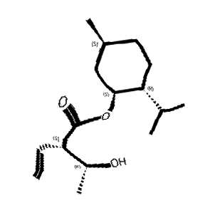 C=C[C@H](C(=O)O[C@H]1C[C@@H](C)CC[C@@H]1C(C)C)[C@@H](C)O